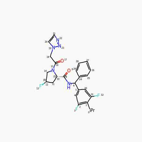 CC(C)c1c(F)cc(C(NC(=O)[C@@H]2C[C@@H](F)CN2C(=O)Cn2ccnn2)c2ccccc2)cc1F